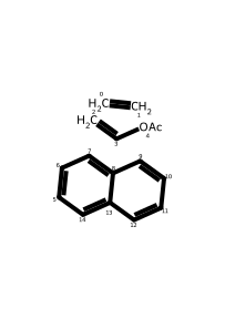 C=C.C=COC(C)=O.c1ccc2ccccc2c1